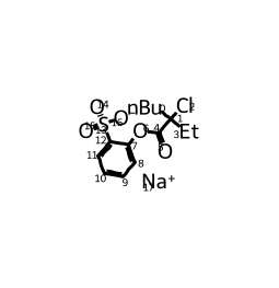 CCCCC(Cl)(CC)C(=O)Oc1ccccc1S(=O)(=O)[O-].[Na+]